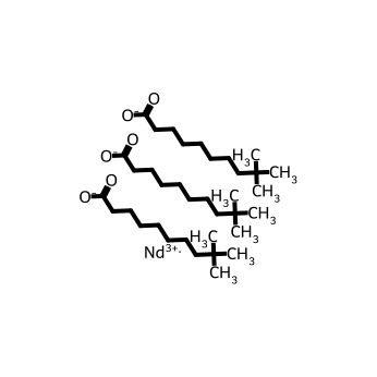 CC(C)(C)CCCCCCCC(=O)[O-].CC(C)(C)CCCCCCCC(=O)[O-].CC(C)(C)CCCCCCCC(=O)[O-].[Nd+3]